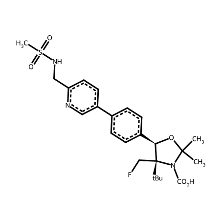 CC1(C)O[C@H](c2ccc(-c3ccc(CNS(C)(=O)=O)nc3)cc2)[C@](CF)(C(C)(C)C)N1C(=O)O